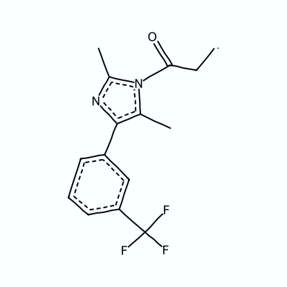 [CH2]CC(=O)n1c(C)nc(-c2cccc(C(F)(F)F)c2)c1C